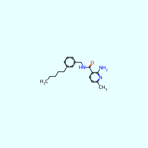 CCCCCc1cccc(CNC(=O)c2ccc(C)nc2N)c1